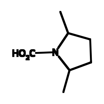 CC1CCC(C)N1C(=O)O